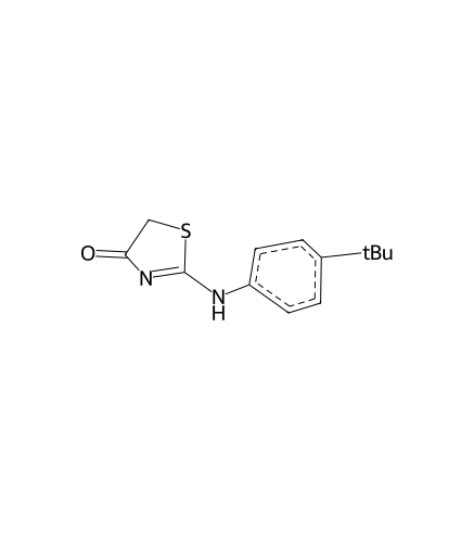 CC(C)(C)c1ccc(NC2=NC(=O)CS2)cc1